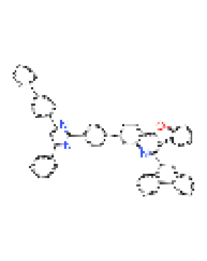 c1ccc(-c2ccc(-c3cc(-c4ccccc4)nc(-c4ccc(-c5ccc6c(c5)nc(-c5cc7ccccc7c7ccccc57)c5c7ccccc7oc65)cc4)n3)cc2)cc1